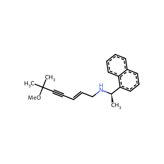 COC(C)(C)C#C/C=C/CN[C@H](C)c1cccc2ccccc12